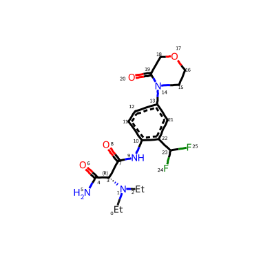 CCN(CC)[C@H](C(N)=O)C(=O)Nc1ccc(N2CCOCC2=O)cc1C(F)F